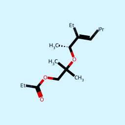 CCC(=O)OCC(C)(C)O[C@H](C)/C(=C/C(C)C)CC